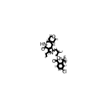 CCc1nn(C[C@@H](C)COC(=O)c2ccc(Cl)cc2C(F)(F)F)c2c1C(=O)NCC1(CCOCC1)C2